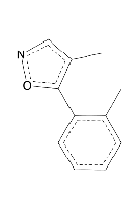 Cc1ccccc1-c1oncc1C